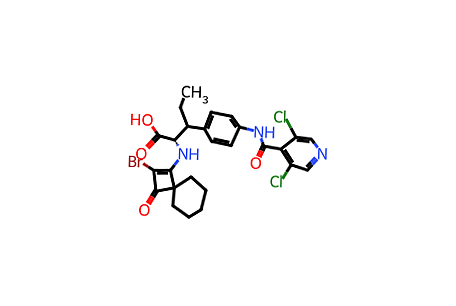 CCC(c1ccc(NC(=O)c2c(Cl)cncc2Cl)cc1)[C@H](NC1=C(Br)C(=O)C12CCCCC2)C(=O)O